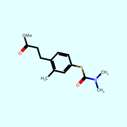 COC(=O)CCc1ccc(SC(=O)N(C)C)cc1C